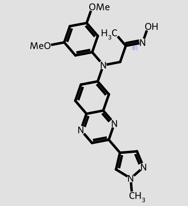 COc1cc(OC)cc(N(C/C(C)=N/O)c2ccc3ncc(-c4cnn(C)c4)nc3c2)c1